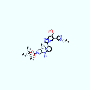 C[C@H]1CN(C(=O)OC(C)(C)C)C[C@@H]1Nc1cccc(-c2cnc3cc(CO)c(-c4cnn(C)c4)cn23)n1